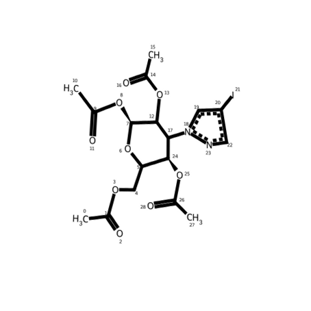 CC(=O)OCC1O[C@@H](OC(C)=O)C(OC(C)=O)C(n2cc(I)cn2)[C@H]1OC(C)=O